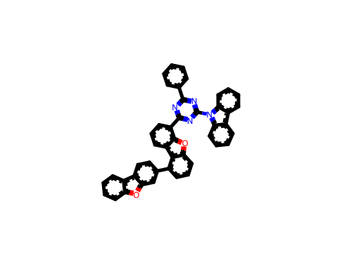 c1ccc(-c2nc(-c3cccc4c3oc3cccc(-c5ccc6c(c5)oc5ccccc56)c34)nc(-n3c4ccccc4c4ccccc43)n2)cc1